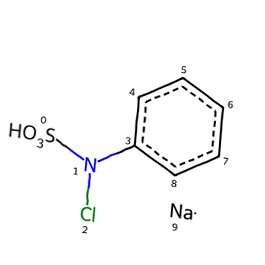 O=S(=O)(O)N(Cl)c1ccccc1.[Na]